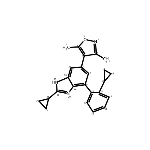 Cc1noc(C)c1-c1cc(-c2ccccc2C2CC2)c2nc(C3CC3)[nH]c2c1